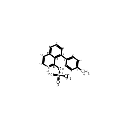 Cc1ccc(-c2cccc3ccnc(OS(=O)(=O)C(F)(F)F)c23)cc1